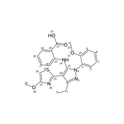 CCc1nn(-c2ccccc2OC)c(Nc2ccccc2C(=O)O)c1-c1nc(OC)cs1